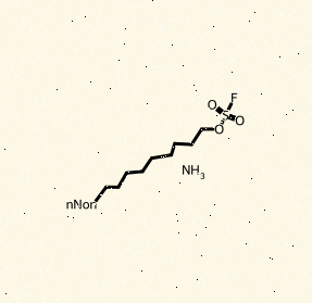 CCCCCCCCCCCCCCCCCCOS(=O)(=O)F.N